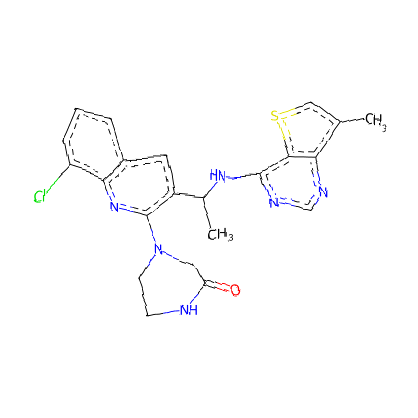 Cc1csc2c(NC(C)c3cc4cccc(Cl)c4nc3N3CCNC(=O)C3)ncnc12